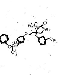 CCOC(=O)C(C)(Cc1ccc(OCCC2(Cc3cccc(C(F)(F)F)c3)CNC(=O)N2C)cc1)Oc1ccccc1